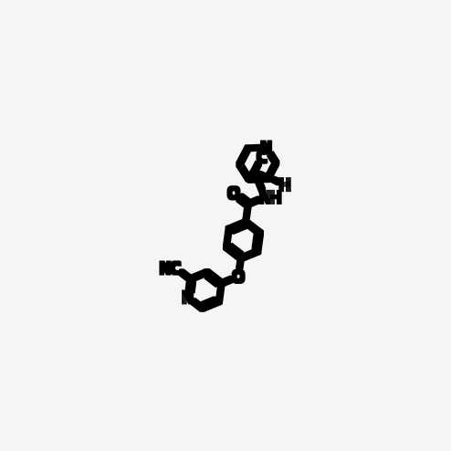 N#Cc1cc(Oc2ccc(C(=O)N[C@H]3CN4CCC3CC4)cc2)ccn1